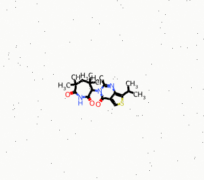 Cc1nc2c(C(C)C)scc2c(=O)n1C1C(=O)NC(=O)C(C)(C)CC1(C)C